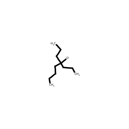 CCCCC([O])(CCC)CCC